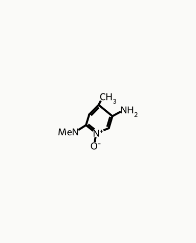 CNc1cc(C)c(N)c[n+]1[O-]